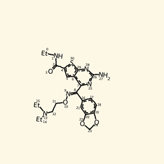 CCNC(=O)c1cc2c(C(=NOCCN(CC)CC)c3ccc4c(c3)OCO4)nc(N)nc2s1